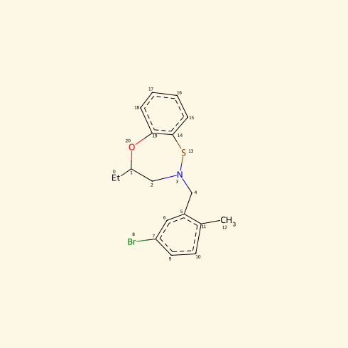 CCC1CN(Cc2cc(Br)ccc2C)Sc2ccccc2O1